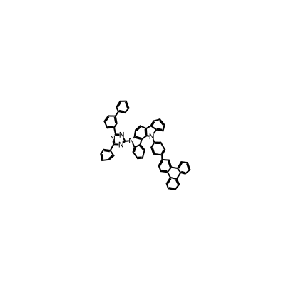 c1ccc(-c2cccc(-c3nc(-c4ccccc4)nc(-n4c5ccccc5c5c4ccc4c6ccccc6n(-c6ccc(-c7ccc8c9ccccc9c9ccccc9c8c7)cc6)c45)n3)c2)cc1